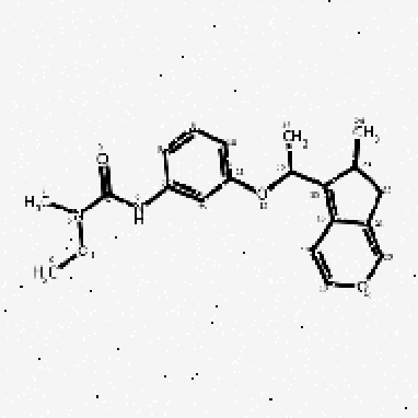 CON(C)C(=O)Nc1cccc(OC(C)C2=C3C=COC=C3CC2C)c1